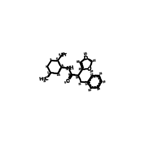 CC1CCC(C(C)C)C(NC(=O)C(Cc2ccccc2)C2=COCO2)C1